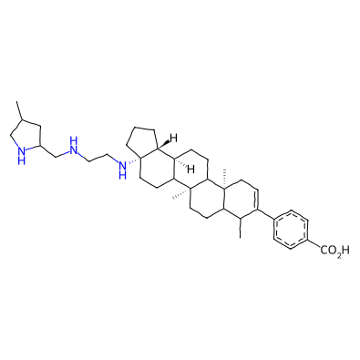 CC1CNC(CNCCN[C@]23CCC[C@@H]2[C@H]2CCC4[C@@]5(C)CC=C(c6ccc(C(=O)O)cc6)C(C)C5CC[C@@]4(C)C2CC3)C1